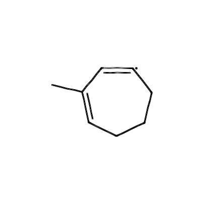 CC1=CCCC[C]=C1